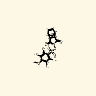 COc1c(F)c(F)c(S(=O)(=O)ON2C(=O)C3C4C=CC(C4)C3C2=O)c(F)c1F